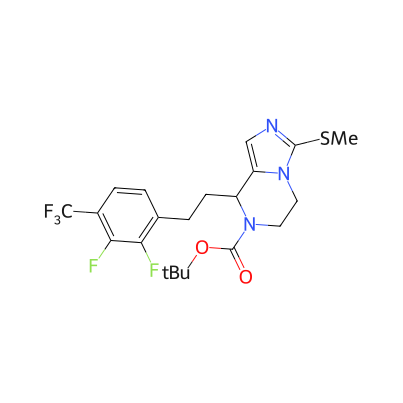 CSc1ncc2n1CCN(C(=O)OC(C)(C)C)C2CCc1ccc(C(F)(F)F)c(F)c1F